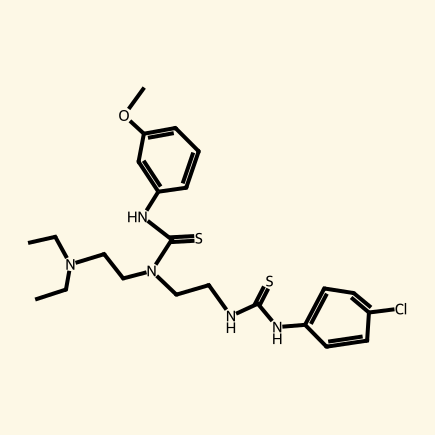 CCN(CC)CCN(CCNC(=S)Nc1ccc(Cl)cc1)C(=S)Nc1cccc(OC)c1